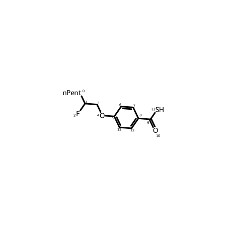 CCCCCC(F)COc1ccc(C(=O)S)cc1